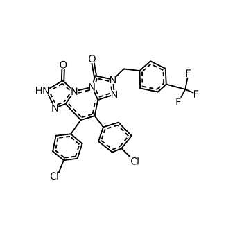 O=c1[nH]nc2c(-c3ccc(Cl)cc3)c(-c3ccc(Cl)cc3)c3nn(Cc4ccc(C(F)(F)F)cc4)c(=O)n3n12